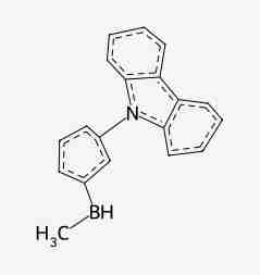 CBc1cccc(-n2c3ccccc3c3ccccc32)c1